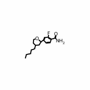 CCCCCC1CCOC(c2ccc(C(N)=O)c(F)c2)C1